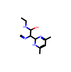 C=NC(C(O)NCC)C1N=C(C)C=C(C)N1